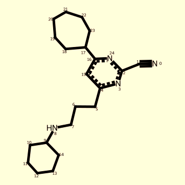 N#Cc1nc(CCCNC2CCCCC2)cc(C2CCCCCC2)n1